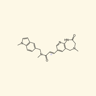 CN1CC(=O)Nc2ncc(/C=C/C(=O)N(C)Cc3ccc4c(ccn4C)c3)cc2C1